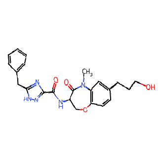 CN1C(=O)[C@H](NC(=O)c2n[nH]c(Cc3ccccc3)n2)COc2ccc(CCCO)cc21